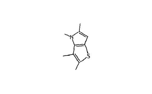 Cc1sc2cc(C)n(C)c2c1C